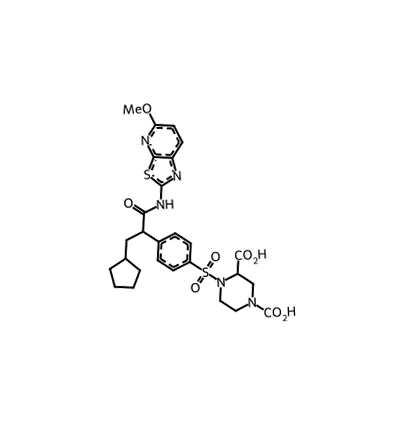 COc1ccc2nc(NC(=O)C(CC3CCCC3)c3ccc(S(=O)(=O)N4CCN(C(=O)O)CC4C(=O)O)cc3)sc2n1